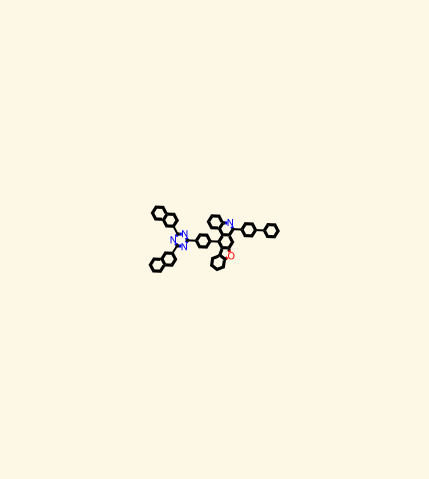 c1ccc(-c2ccc(-c3nc4ccccc4c4c(-c5ccc(-c6nc(-c7ccc8ccccc8c7)nc(-c7ccc8ccccc8c7)n6)cc5)c5c(cc34)oc3ccccc35)cc2)cc1